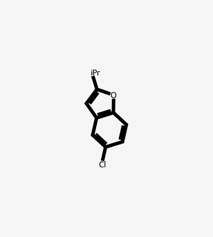 CC(C)c1cc2cc(Cl)ccc2o1